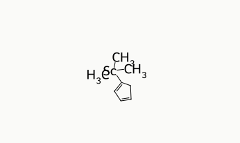 [CH3][Sc]([CH3])([CH3])[C]1=CC=CC1